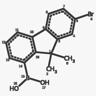 CC1(C)c2cc(Br)ccc2-c2cccc(B(O)O)c21